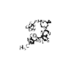 Cn1cc(NC(=O)c2csc3ncc(N4CCNCC5(CC5)C4)nc23)c(C(F)(F)F)n1.O=C(O)C(F)(F)F